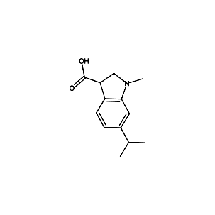 CC(C)c1ccc2c(c1)N(C)CC2C(=O)O